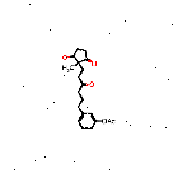 CC(=O)Oc1cccc(CCCC(=O)CCC2(C)C(=O)CCC2=O)c1